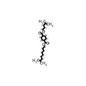 CC(C)CCCCCCCOC(=O)C1CCC(C(=O)OCCCC(C)C)CC1